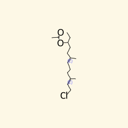 CCC(CC/C(C)=C/CC/C(C)=C/CCl)OC(C)=O